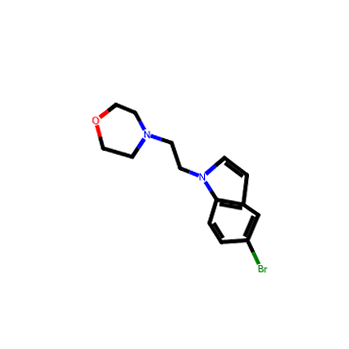 Brc1ccc2c(ccn2CCN2CCOCC2)c1